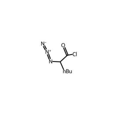 CCCCC(N=[N+]=[N-])C(=O)Cl